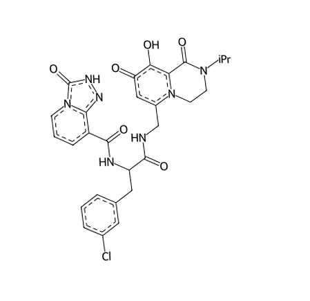 CC(C)N1CCn2c(CNC(=O)C(Cc3cccc(Cl)c3)NC(=O)c3cccn4c(=O)[nH]nc34)cc(=O)c(O)c2C1=O